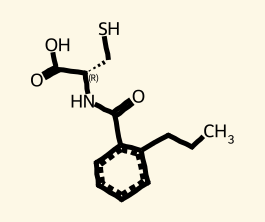 CCCc1ccccc1C(=O)N[C@@H](CS)C(=O)O